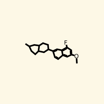 COc1cc(F)c2cc(C3CCC4CC(C)CCC4C3)ccc2c1